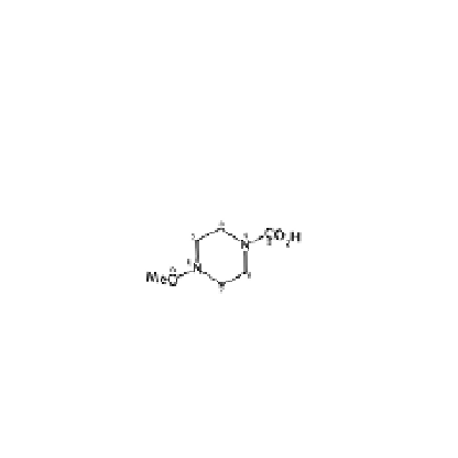 CON1CCN(C(=O)O)CC1